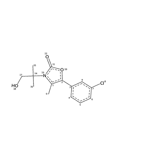 Cc1c(-c2cccc(Cl)c2)oc(=O)n1C(C)(C)CO